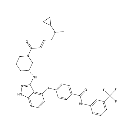 CN(CC=CC(=O)N1CCC[C@@H](Nc2n[nH]c3nccc(Oc4ccc(C(=O)Nc5cccc(C(F)(F)F)c5)cc4)c23)C1)C1CC1